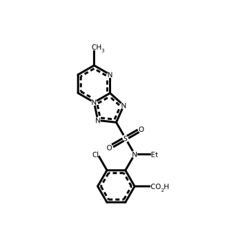 CCN(c1c(Cl)cccc1C(=O)O)S(=O)(=O)c1nc2nc(C)ccn2n1